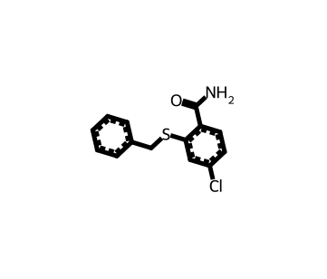 NC(=O)c1ccc(Cl)cc1SCc1ccccc1